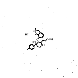 Cc1ccc(C2(O)CCNC(CCCO)C2Oc2cccc3c2OC(C)(C)C3)cc1.Cl